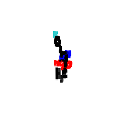 CCOC(=O)C(O)=Cc1ncc(CCc2ccc(F)cc2)cn1